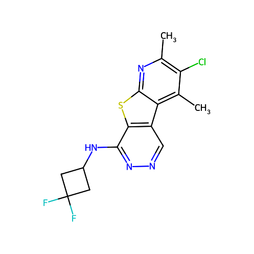 Cc1nc2sc3c(NC4CC(F)(F)C4)nncc3c2c(C)c1Cl